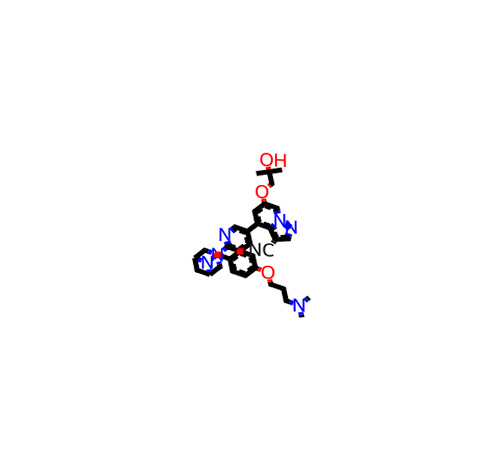 CN(C)CCCOc1ccc(CN2C3CC2CN(c2ccc(-c4cc(OCC(C)(C)O)cn5ncc(C#N)c45)cn2)C3)cc1